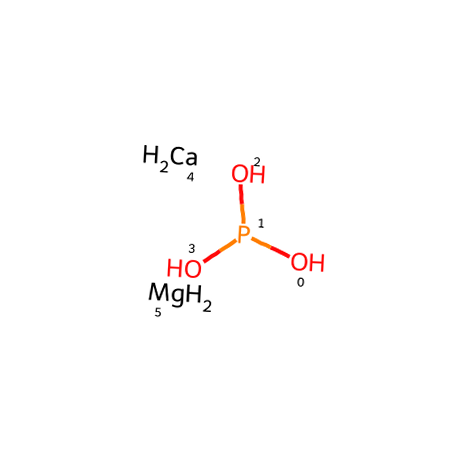 OP(O)O.[CaH2].[MgH2]